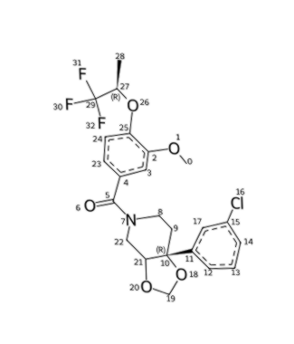 COc1cc(C(=O)N2CC[C@]3(c4cccc(Cl)c4)OCOC3C2)ccc1O[C@H](C)C(F)(F)F